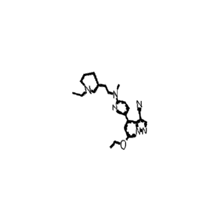 CCOc1cc(-c2ccc(N(C)CCC3CCCN(CC)C3)nc2)c2c(C#N)cnn2c1